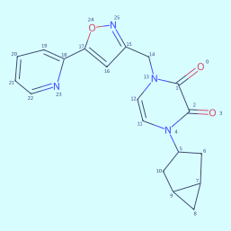 O=c1c(=O)n(C2CC3CC3C2)ccn1Cc1cc(-c2ccccn2)on1